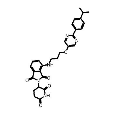 CC(C)c1ccc(-c2ncc(OCCCNc3cccc4c3C(=O)N(C3CCC(=O)NC3=O)C4=O)cn2)cc1